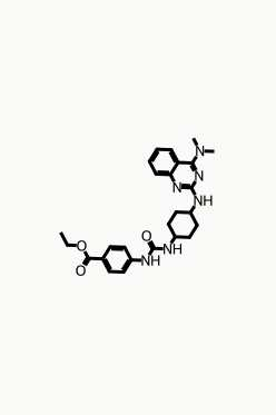 CCOC(=O)c1ccc(NC(=O)NC2CCC(Nc3nc(N(C)C)c4ccccc4n3)CC2)cc1